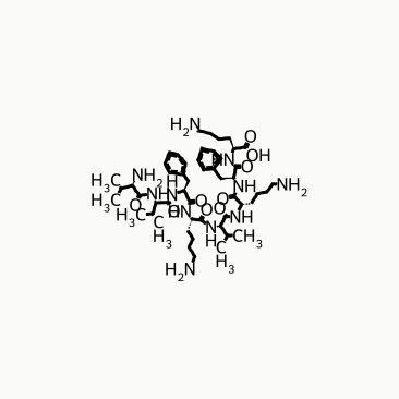 CC(C)[C@H](N)C(=O)N[C@H](C(=O)N[C@@H](Cc1ccccc1)C(=O)N[C@@H](CCCCN)C(=O)N[C@H](C(=O)N[C@@H](CCCCN)C(=O)N[C@@H](Cc1ccccc1)C(=O)N[C@@H](CCCCN)C(=O)O)C(C)C)C(C)C